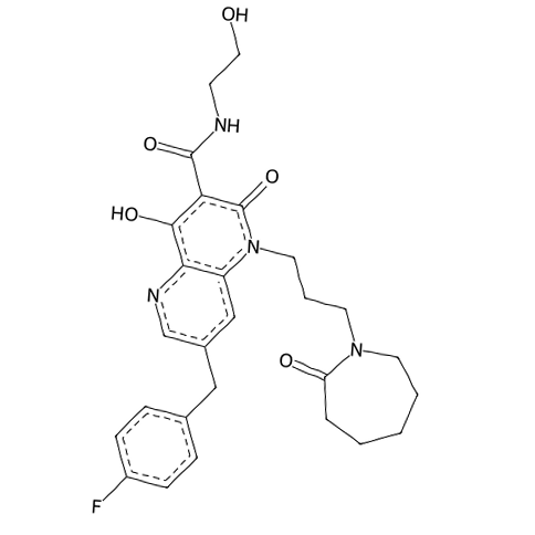 O=C(NCCO)c1c(O)c2ncc(Cc3ccc(F)cc3)cc2n(CCCN2CCCCCC2=O)c1=O